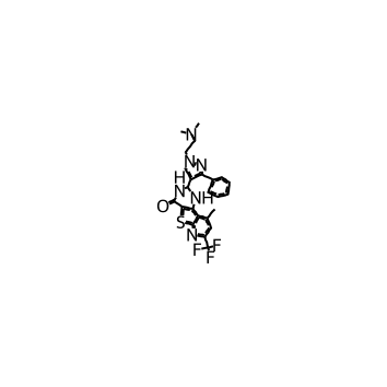 Cc1cc(C(F)(F)F)nc2sc3c(c12)NC(c1cn(CCN(C)C)nc1-c1ccccc1)NC3=O